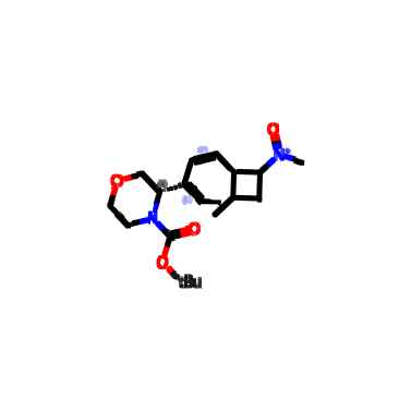 C/C=C(\C=C/C1C(C)CC1[N+](C)=O)[C@H]1COCCN1C(=O)OC(C)(C)C